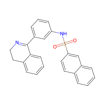 O=S(=O)(Nc1cccc(C2=NCCc3ccccc32)c1)c1ccc2ccccc2c1